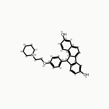 Oc1ccc2c(c1)-c1ccc3cc(O)ccc3c1C2c1ccc(OCCN2CCCCC2)cc1